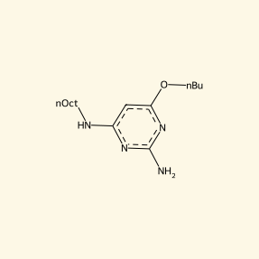 CCCCCCCCNc1cc(OCCCC)nc(N)n1